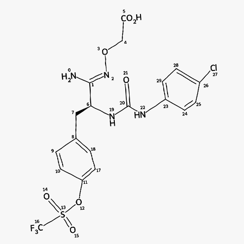 N/C(=N\OCC(=O)O)[C@H](Cc1ccc(OS(=O)(=O)C(F)(F)F)cc1)NC(=O)Nc1ccc(Cl)cc1